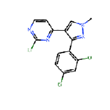 Cn1cc(-c2ccnc(Cl)n2)c(-c2ccc(Cl)cc2Cl)n1